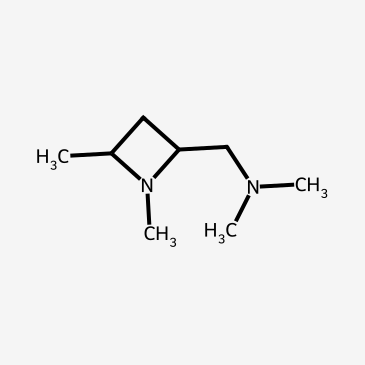 CC1CC(CN(C)C)N1C